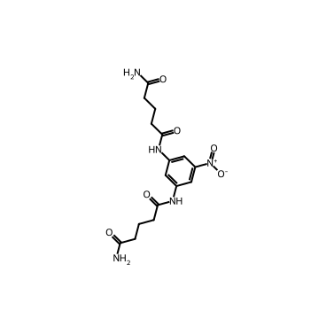 NC(=O)CCCC(=O)Nc1cc(NC(=O)CCCC(N)=O)cc([N+](=O)[O-])c1